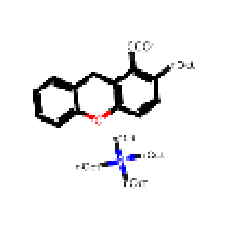 CCCCCCCC[N+](CCCCCCCC)(CCCCCCCC)CCCCCCCC.CCCCCCCCc1ccc2c(c1C(=O)[O-])Cc1ccccc1O2